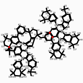 Cc1cc2c3c(c1)N(c1ccc4c(c1)C(C)(C)CCC4(C)C)c1c(sc4ccc(C(C)(C)C)cc14)B3c1cc3c(cc1N2c1cc2c(cc1-c1cccc(CC4(C)CCC5(C)c6cccc(c6)-c6cc7c(cc6N6c8cc5c4cc8B4c5sc8ccc(C(C)(C)C)cc8c5N(c5ccc8c(c5)C(C)(C)CCC8(C)C)c5cc(C(C)(C)C)cc6c54)C(C)(C)CCC7(C)C)c1)C(C)(C)CCC2(C)C)C(C)(C)CCC3(C)C